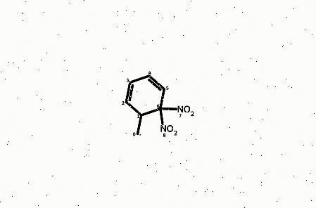 [CH2]C1C=CC=CC1([N+](=O)[O-])[N+](=O)[O-]